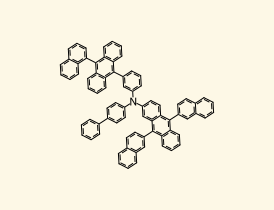 c1ccc(-c2ccc(N(c3cccc(-c4c5ccccc5c(-c5cccc6ccccc56)c5ccccc45)c3)c3ccc4c(-c5ccc6ccccc6c5)c5ccccc5c(-c5ccc6ccccc6c5)c4c3)cc2)cc1